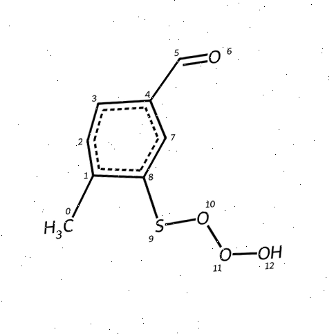 Cc1ccc(C=O)cc1SOOO